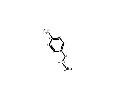 CCC(C)NCc1ccc(C(F)(F)F)cc1